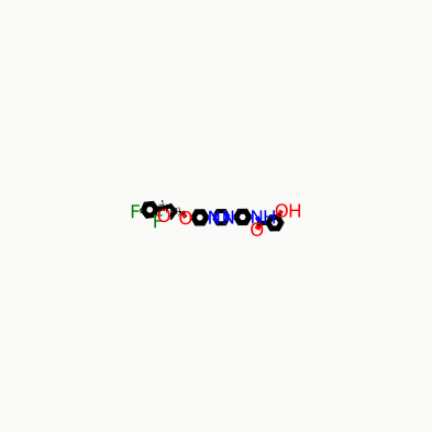 C[C@]1(c2ccc(F)cc2F)C[C@H](COc2ccc(N3CCN(c4ccc(NC(=O)c5cccc(O)c5)cc4)CC3)cc2)CO1